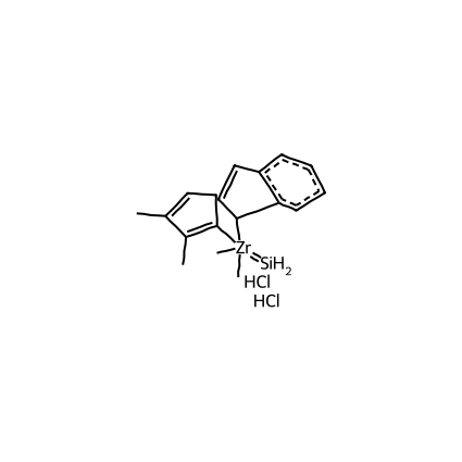 CC1=CC[C]([Zr]([CH3])([CH3])(=[SiH2])[CH]2C=Cc3ccccc32)=C1C.Cl.Cl